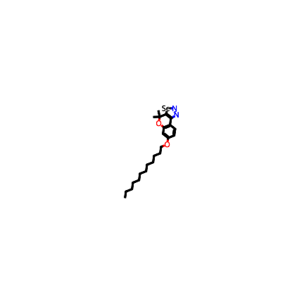 CCCCCCCCCCCCOc1ccc2c(c1)OC(C)(C)c1[se]nnc1-2